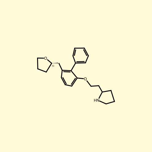 c1ccc(-c2c(C[C@@H]3CCCO3)cccc2OCCC2CCCN2)cc1